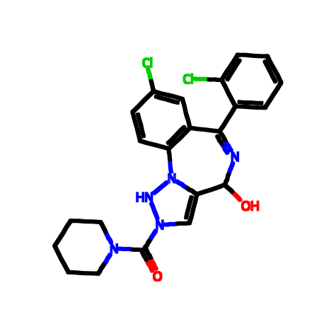 O=C(N1CCCCC1)N1C=C2C(O)N=C(c3ccccc3Cl)c3cc(Cl)ccc3N2N1